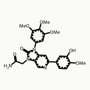 COc1ccc(-c2cc3c(cn2)n(CC(N)=O)c(=O)n3-c2cc(OC)c(OC)c(OC)c2)cc1O